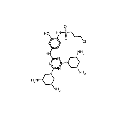 N[C@@H]1C[C@H](N)CN(c2nc(Nc3ccc(NS(=O)(=O)CCCCl)c(O)c3)nc(N3C[C@H](N)C[C@H](N)C3)n2)C1